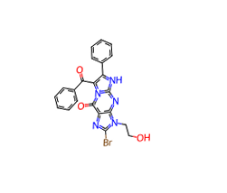 O=C(c1ccccc1)c1c(-c2ccccc2)[nH]c2nc3c(nc(Br)n3CCO)c(=O)n12